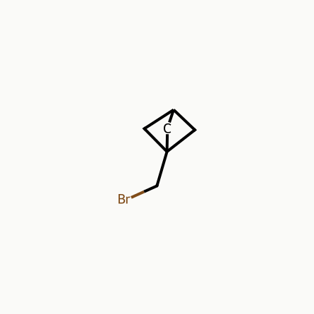 BrCC12CC(C1)C2